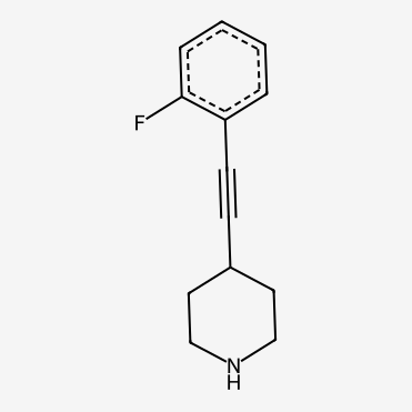 Fc1ccccc1C#CC1CCNCC1